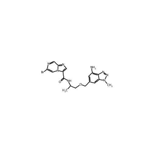 CC(COCc1cc(N)c2nnn(C)c2c1)NC(=O)c1cnc2cnc(Br)cn12